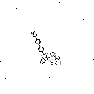 CC(O)C(=O)N1CC[C@@H](CN2C(=O)C3(CCOC3)N=C2c2ccc(-c3ccc(-c4cn[nH]c4)cc3)cc2)C1